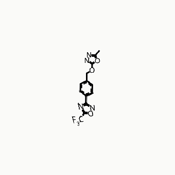 Cc1nnc(OCc2ccc(-c3noc(C(F)(F)F)n3)cc2)o1